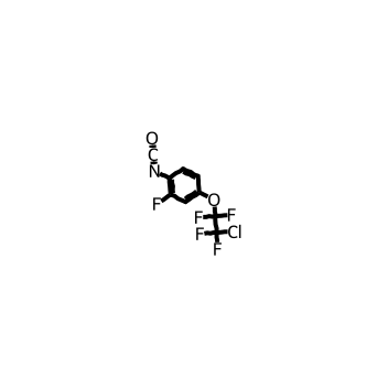 O=C=Nc1ccc(OC(F)(F)C(F)(F)Cl)cc1F